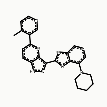 Cc1ccncc1-c1ccc2[nH]nc(-c3nc4c(N5CCCCC5)cncc4[nH]3)c2n1